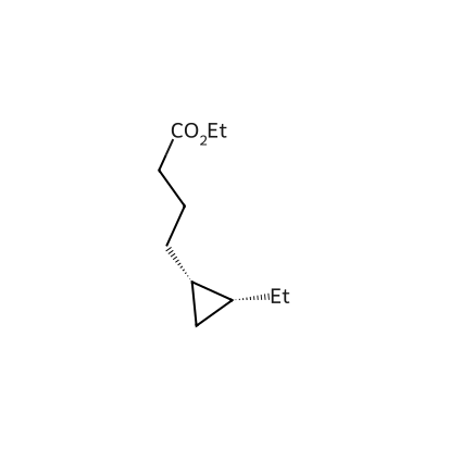 CCOC(=O)CCC[C@H]1C[C@H]1CC